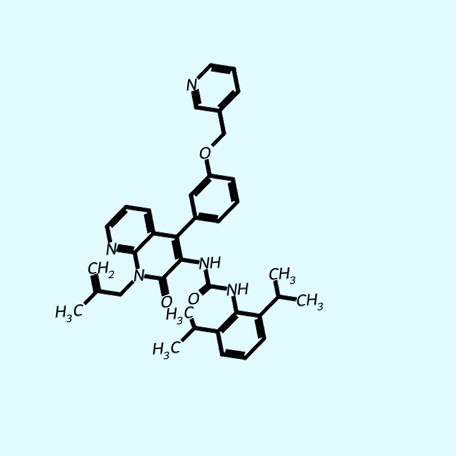 C=C(C)Cn1c(=O)c(NC(=O)Nc2c(C(C)C)cccc2C(C)C)c(-c2cccc(OCc3cccnc3)c2)c2cccnc21